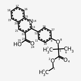 CCOC(=O)C(C)(C)Oc1ccc(-c2nc3ccccc3cc2C(=O)O)cc1